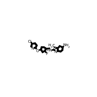 Cn1c(NCc2ccc(Oc3ccc(Cl)cn3)cc2F)nc2ccc(N)cc21